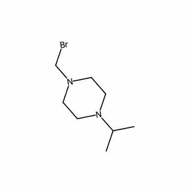 CC(C)N1CCN(CBr)CC1